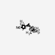 Cc1cc([C@H]2C[C@@H]2B2OC(C)(C)C(C)(C)O2)ccc1C#N